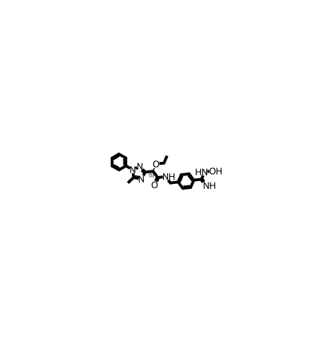 CCO[C@H](C(=O)NCc1ccc(C(=N)NO)cc1)c1nc(C)n(-c2ccccc2)n1